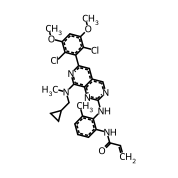 C=CC(=O)Nc1cccc(C)c1Nc1ncc2cc(-c3c(Cl)c(OC)cc(OC)c3Cl)nc(N(C)CC3CC3)c2n1